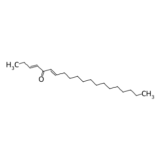 CCC=CC(=O)C=CCCCCCCCCCCCCC